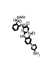 CCOc1cc(N2CC[C@@H](N)C2)ccc1Nc1ncc(Cl)c(Nc2ccccc2S(=O)(=O)NC)n1